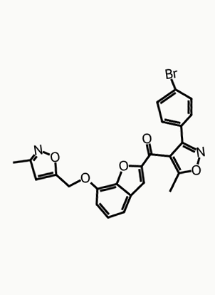 Cc1cc(COc2cccc3cc(C(=O)c4c(-c5ccc(Br)cc5)noc4C)oc23)on1